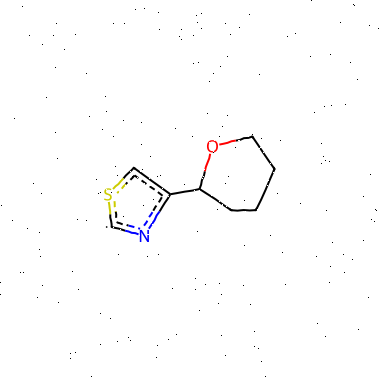 [c]1nc(C2CCCCO2)cs1